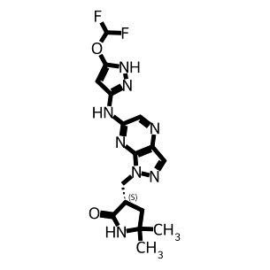 CC1(C)C[C@@H](Cn2ncc3ncc(Nc4cc(OC(F)F)[nH]n4)nc32)C(=O)N1